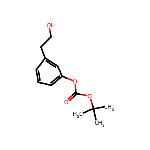 CC(C)(C)OC(=O)Oc1cccc(CCO)c1